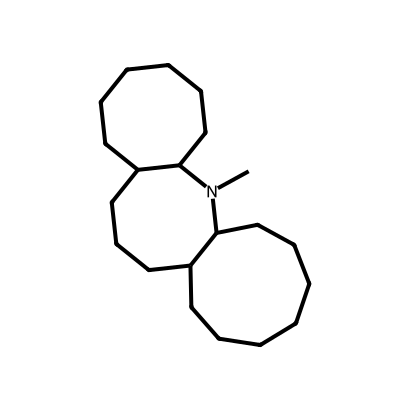 CN1C2CCCCCCCC2CCCC2CCCCCCC21